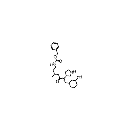 CC(CCNC(=O)OCc1ccccc1)CC(=O)N(CC1CCCC(C#N)C1)C1CCNC1